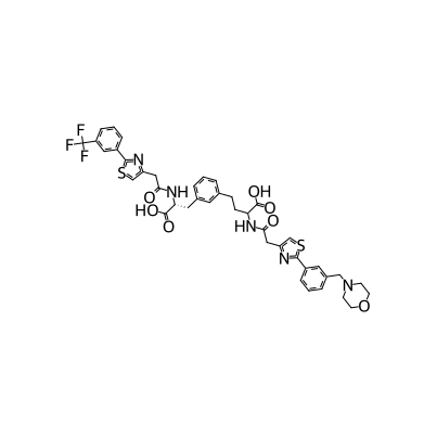 O=C(Cc1csc(-c2cccc(CN3CCOCC3)c2)n1)NC(CCc1cccc(C[C@@H](NC(=O)Cc2csc(-c3cccc(C(F)(F)F)c3)n2)C(=O)O)c1)C(=O)O